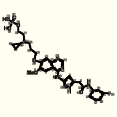 COc1cc2c(Nc3cc(CC(=O)Nc4cccc(F)c4)[nH]n3)ncnc2cc1OCCCN(CCOP(=O)(O)O)C1CC1